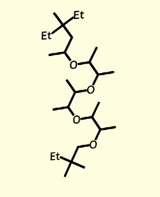 CCC(C)(C)COC(C)C(C)OC(C)C(C)OC(C)C(C)OC(C)CC(C)(CC)CC